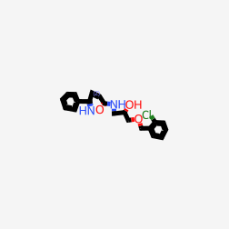 N=C(/C=C\C(=O)NCC(O)COCc1ccccc1Cl)c1ccccc1